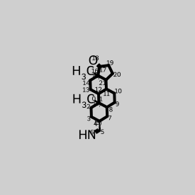 C[C@]12CC[C@H](C=N)CC1CCC1C2CC[C@]2(C)C(=O)CCC12